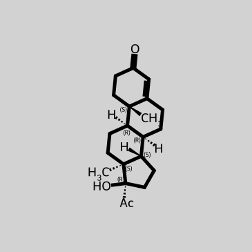 CC(=O)[C@@]1(O)CC[C@H]2[C@@H]3CCC4=CC(=O)CC[C@@]4(C)[C@@H]3CC[C@@]21C